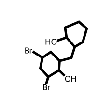 OC1CCCCC1CC1CC(Br)CC(Br)C1O